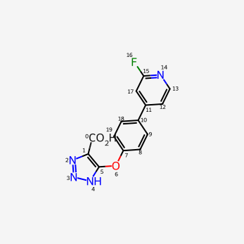 O=C(O)c1nn[nH]c1Oc1ccc(-c2ccnc(F)c2)cc1